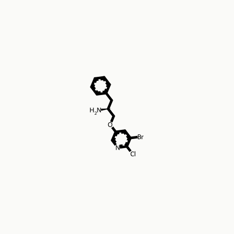 N[C@H](COc1cnc(Cl)c(Br)c1)Cc1ccccc1